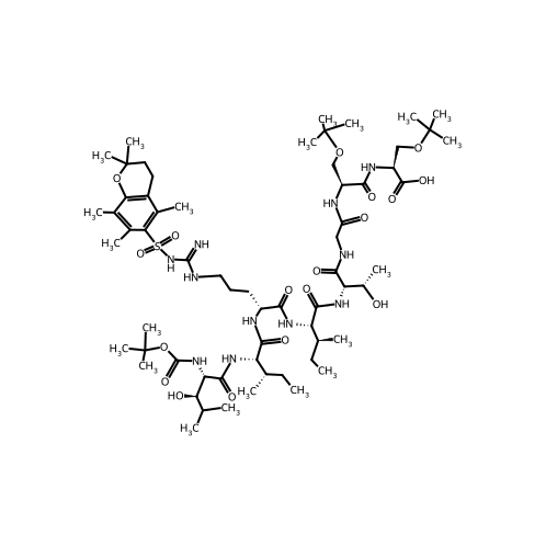 CC[C@H](C)[C@H](NC(=O)[C@@H](NC(=O)OC(C)(C)C)[C@H](O)C(C)C)C(=O)N[C@H](CCCNC(=N)NS(=O)(=O)c1c(C)c(C)c2c(c1C)CCC(C)(C)O2)C(=O)N[C@H](C(=O)N[C@H](C(=O)NCC(=O)N[C@@H](COC(C)(C)C)C(=O)N[C@@H](COC(C)(C)C)C(=O)O)[C@H](C)O)[C@@H](C)CC